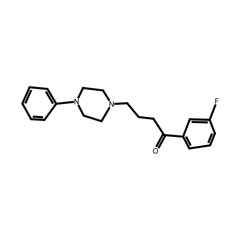 O=C(CCCN1CCN(c2ccccc2)CC1)c1cccc(F)c1